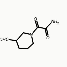 NC(=O)C(=O)N1CCCC(C=O)C1